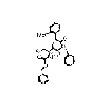 COc1ccc[c]c1CC(=O)[C@H](Cc1ccccc1)NC(=O)[C@H](CC(C)C)NC(=O)OCc1ccccc1